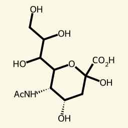 CC(=O)N[C@@H]1C(C(O)C(O)CO)OC(O)(C(=O)O)C[C@@H]1O